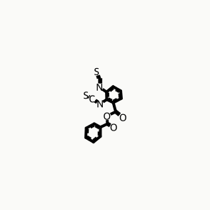 O=C(OC(=O)c1cccc(N=C=S)c1N=C=S)c1ccccc1